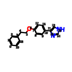 c1ccc(CCOc2ccc(-c3c[nH]cn3)cc2)cc1